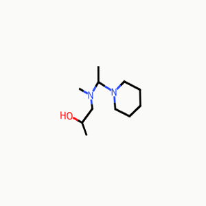 CC(O)CN(C)C(C)N1CCCCC1